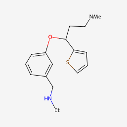 CCNCc1cccc(OC(CCNC)c2cccs2)c1